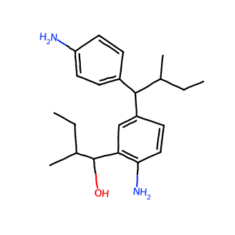 CCC(C)C(O)c1cc(C(c2ccc(N)cc2)C(C)CC)ccc1N